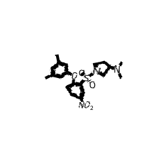 Cc1cc(C)cc(Oc2ccc([N+](=O)[O-])cc2S(=O)(=O)N2CCC(N(C)C)C2)c1